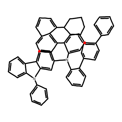 c1ccc(-c2ccc(-c3ccccc3N(c3ccc4c5ccccc5n(-c5ccccc5)c4c3)c3ccccc3-c3cccc4cccc(C5CCCCC5)c34)cc2)cc1